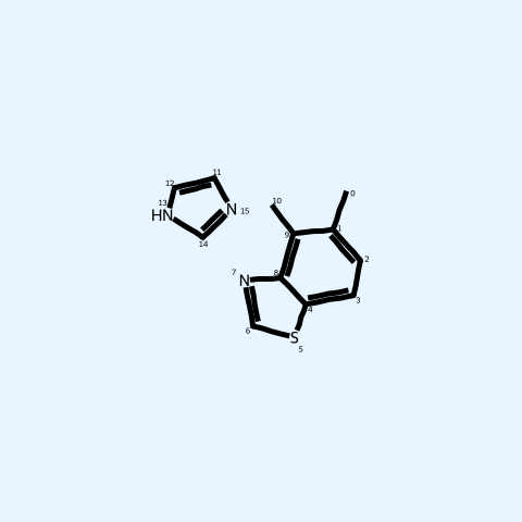 Cc1ccc2scnc2c1C.c1c[nH]cn1